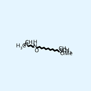 CO[Si](C)(C)CCCCCCCCCCC(=O)NCCCN(C)C